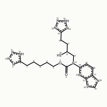 O=C(OCCCCCc1nnn[nH]1)N(CC(S)CCc1nn[nH]n1)c1ccc2ncsc2n1